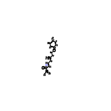 Cc1ccc(OCCNC/C=C/C(=O)N(C)C)cc1